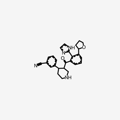 N#Cc1cccc(C2CCNCC2C(=O)c2cccc(C3CCCO3)c2-c2ncc[nH]2)c1